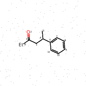 CCC(=O)CC(C)c1ccccc1